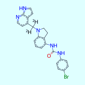 [2H]C([2H])(c1ccnc2[nH]ccc12)N1CCc2c(NC(=O)Nc3ccc(Br)cc3)cccc21